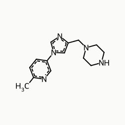 Cc1ccc(-n2cnc(CN3CCNCC3)c2)cn1